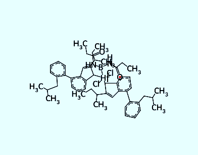 CCC(=O)N[B](NC(=O)CC)[Hf]([Cl])([Cl])([CH]1C(C(C)CC)=Cc2c(-c3ccccc3CC(C)C)cccc21)[CH]1C(C(C)CC)=Cc2c(-c3ccccc3CC(C)C)cccc21